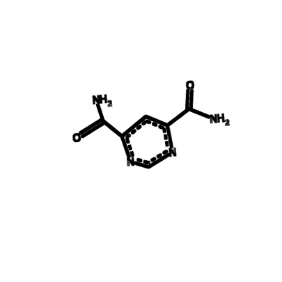 NC(=O)c1cc(C(N)=O)ncn1